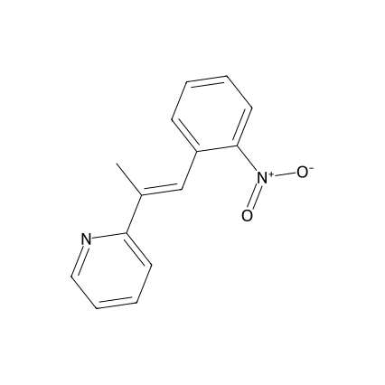 CC(=Cc1ccccc1[N+](=O)[O-])c1ccccn1